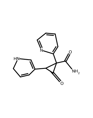 NC(=O)C1(c2ccccn2)C(=O)C1C1=CNCC=C1